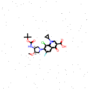 CO[C@@H]1CN(c2c(F)cc3c(=O)c(C(=O)O)cn(C4CC4)c3c2Cl)C[C@@H]1NC(=O)OC(C)(C)C